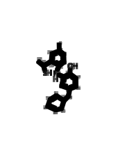 Cc1ccc(Pc2cc(CC3C=CC=CC3)ccc2O)c(C(C)S)c1